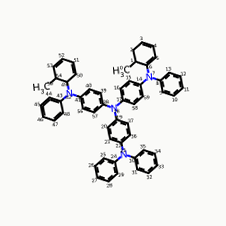 CC1CC=CC=C1N(c1ccccc1)c1ccc(N(c2ccc(N(c3ccccc3)c3ccccc3)cc2)c2ccc(N(C3=C=C=CC=C3)C3C=CC=CC3C)cc2)cc1